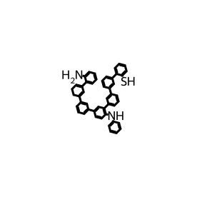 Nc1ccccc1C1=CCCC(c2cccc(-c3ccc(Nc4ccccc4)c(-c4cccc(-c5cccc(-c6ccccc6S)c5)c4)c3)c2)=C1